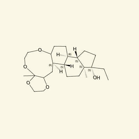 CC[C@]1(O)CC[C@H]2[C@@H]3CCC4OCCOC5(C)OCCOC5C[C@@H]4[C@H]3CC[C@@]21C